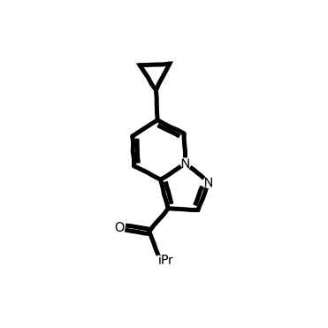 CC(C)C(=O)c1cnn2cc(C3CC3)ccc12